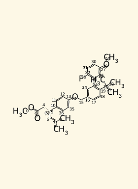 COC(=O)C[C@@H](C=C(C)C)c1ccc(OCc2ccc(C(C)(C)C)c(-c3cc(OC)ccc3F)c2)cc1